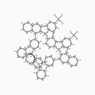 CC(C)(C)c1cc2c3c4c5cc(C(C)(C)C)cc6c7cc8ccccc8c(-c8ccc9c(c8)c8ccccc8n9-c8ccccc8)c7n(c4ncc3n3c4c(-c7ccc8c(c7)-c7ccccc7C8c7ccccc7)cc7ccccc7c4c(c1)c23)c65